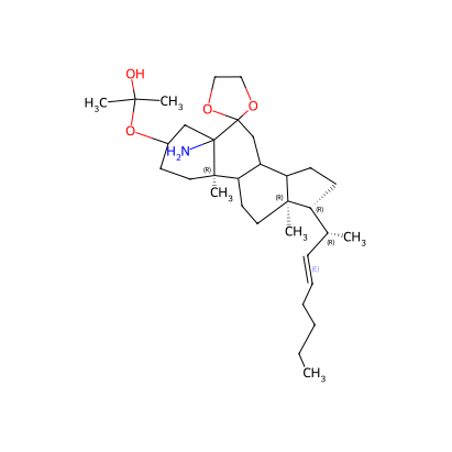 CCCC/C=C/[C@@H](C)[C@H]1CCC2C3CC4(OCCO4)C4(N)CC(OC(C)(C)O)CC[C@]4(C)C3CC[C@@]21C